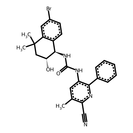 Cc1cc(NC(=O)N[C@@H]2c3ccc(Br)cc3C(C)(C)C[C@H]2O)c(-c2ccccc2)nc1C#N